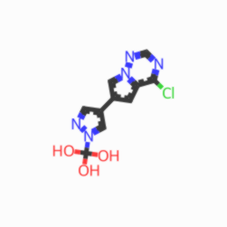 OC(O)(O)n1cc(-c2cc3c(Cl)ncnn3c2)cn1